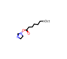 CCCCCCCCCCCCCC(=O)ON1C=NCC1